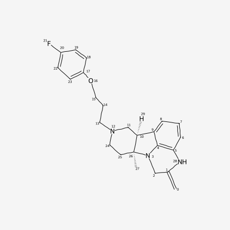 C=C1CN2c3c(cccc3[C@@H]3CN(CCCOc4ccc(F)cc4)CC[C@@]32C)N1